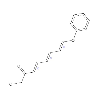 O=C(/C=C/C=C/C=C/Oc1ccccc1)CCl